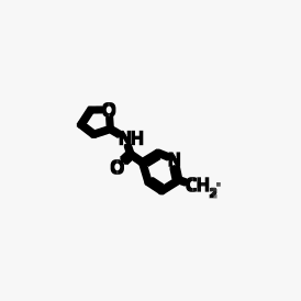 [CH2]c1ccc(C(=O)NC2CCCO2)cn1